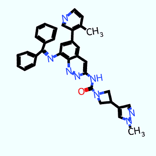 Cc1ccncc1-c1cc(N=C(c2ccccc2)c2ccccc2)c2nnc(NC(=O)N3CC(c4cnn(C)c4)C3)cc2c1